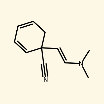 CN(C)C=CC1(C#N)C=CC=CC1